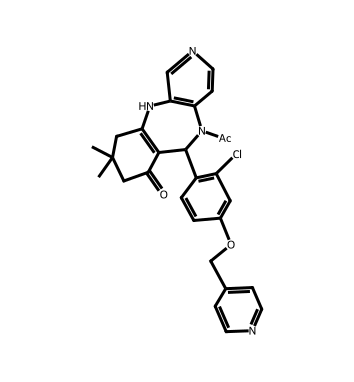 CC(=O)N1c2ccncc2NC2=C(C(=O)CC(C)(C)C2)C1c1ccc(OCc2ccncc2)cc1Cl